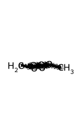 C=CCCCC1CCC(OC(=O)c2ccc(OC(=O)c3ccc(OCCCCCCCC)cc3)cc2)CC1